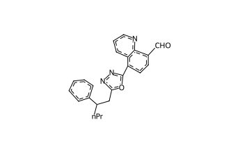 CCCC(Cc1nnc(-c2ccc(C=O)c3ncccc23)o1)c1ccccc1